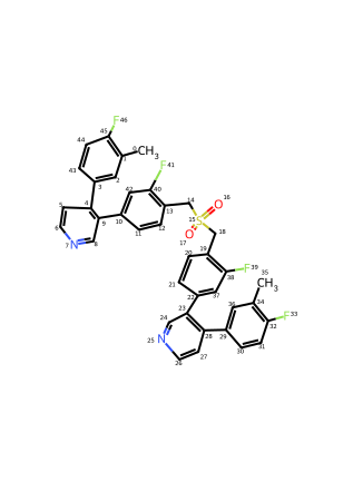 Cc1cc(-c2ccncc2-c2ccc(CS(=O)(=O)Cc3ccc(-c4cnccc4-c4ccc(F)c(C)c4)cc3F)c(F)c2)ccc1F